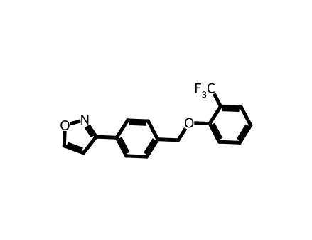 FC(F)(F)c1ccccc1OCc1ccc(-c2ccon2)cc1